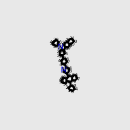 c1ccc(-c2c3ccccc3c(-c3ccc(-c4ccc(-c5ccc6c(c5)c5cc7ccccc7cc5n6-c5ccccc5)cc4)nc3)c3ccccc23)cc1